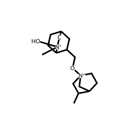 CC1C[N+]2(OCC3CC4CCC3[N+](C)(O)C4)CCC1C2